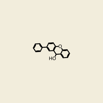 OC1c2ccccc2Oc2ccc(-c3ccccc3)cc21